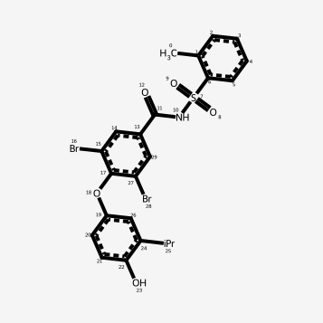 Cc1ccccc1S(=O)(=O)NC(=O)c1cc(Br)c(Oc2ccc(O)c(C(C)C)c2)c(Br)c1